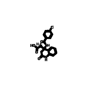 CC(C(=O)O)C1(NC(=O)c2ccc(Cl)cc2)CC(=O)Nc2ccccc21